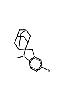 CN1c2ccc(Br)cc2CC12C1CC3CC2CN(C3)C1